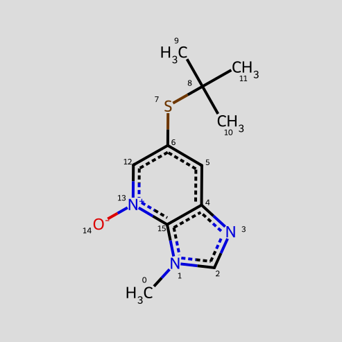 Cn1cnc2cc(SC(C)(C)C)c[n+]([O-])c21